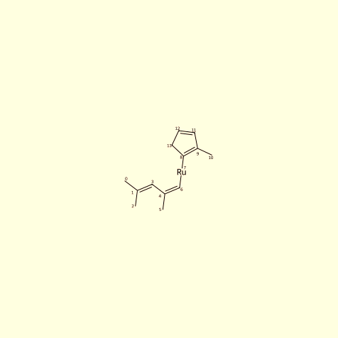 CC(C)=C/C(C)=[CH]\[Ru][C]1=C(C)C=CC1